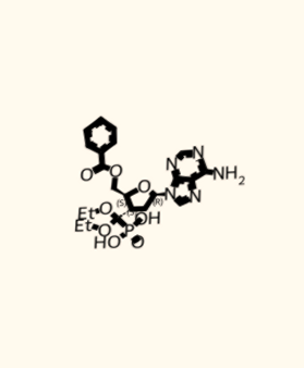 CCOC(OCC)([C@H]1C[C@H](n2cnc3c(N)ncnc32)O[C@@H]1COC(=O)c1ccccc1)P(=O)(O)O